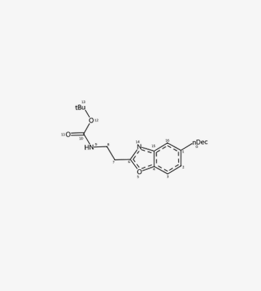 CCCCCCCCCCc1ccc2oc(CCNC(=O)OC(C)(C)C)nc2c1